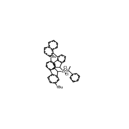 CC1=Cc2c(-c3cccc4ccccc34)cccc2[CH]1[Zr]([Cl])([Cl])([CH]1c2cc(C(C)(C)C)ccc2-c2ccc(C(C)(C)C)cc21)=[Si](C)c1ccccc1